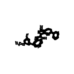 COc1cc(F)cc(-c2cncc3[nH]c(-c4n[nH]c5ccc(-c6cccnc6)nc45)nc23)c1